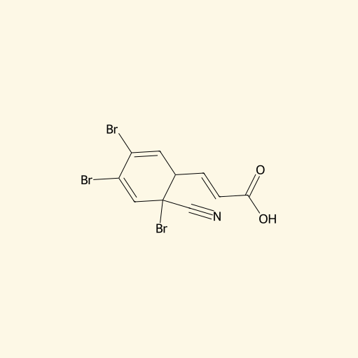 N#CC1(Br)C=C(Br)C(Br)=CC1/C=C/C(=O)O